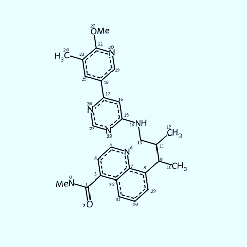 CNC(=O)c1ccnc2c(C(C)C(C)CNc3cc(-c4cnc(OC)c(C)c4)ncn3)cccc12